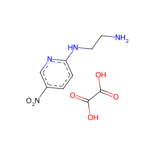 NCCNc1ccc([N+](=O)[O-])cn1.O=C(O)C(=O)O